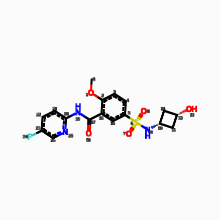 COc1ccc(S(=O)(=O)N[C@H]2C[C@@H](O)C2)cc1C(=O)Nc1ccc(F)cn1